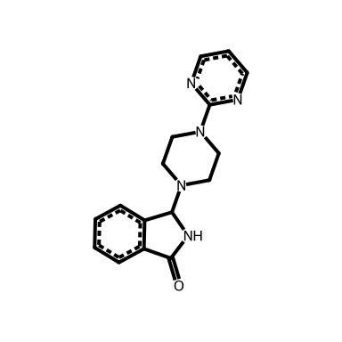 O=C1NC(N2CCN(c3ncccn3)CC2)c2ccccc21